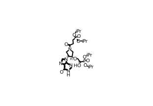 CC(C)OP(=O)(CCC(=O)N1C[C@@H](n2cnc3c(=O)[nH]cnc32)[C@H](OC[C@H](O)P(=O)(OC(C)C)OC(C)C)C1)OC(C)C